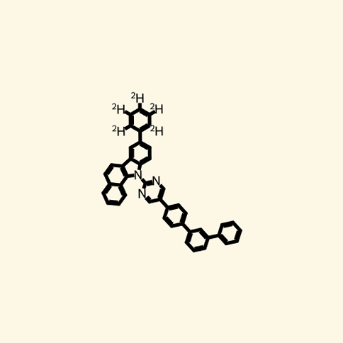 [2H]c1c([2H])c([2H])c(-c2ccc3c(c2)c2ccc4ccccc4c2n3-c2ncc(-c3ccc(-c4cccc(-c5ccccc5)c4)cc3)cn2)c([2H])c1[2H]